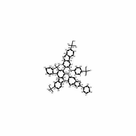 CC(C)(C)c1ccc(N2B3c4cc5nc(-c6ccccc6)sc5cc4-n4c5ccc(C(C)(C)C)cc5c5c6c(c(c3c54)-c3cc4sc5cc(C(C)(C)C)ccc5c4cc32)C(C)(C)c2ccccc2-6)cc1